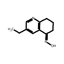 CCc1cnc2c(c1)/C(=N/O)CCC2